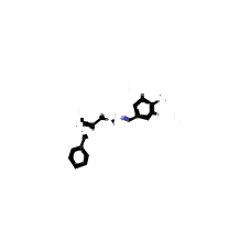 Cc1cc(/C=N/NC(=O)c2sc(-c3ccccc3)nc2C(F)(F)F)cc(C)c1N=O